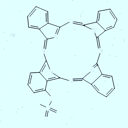 N.O=[S](=O)([Zn])Oc1cccc2c3nc4nc(nc5[nH]c(nc6nc(nc([nH]3)c12)-c1ccccc1-6)c1ccccc51)-c1ccccc1-4